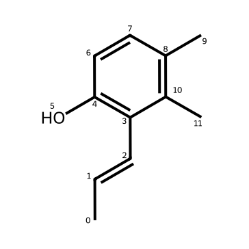 CC=Cc1c(O)ccc(C)c1C